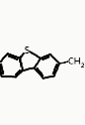 [CH2]c1ccc2c(c1)sc1ccccc12